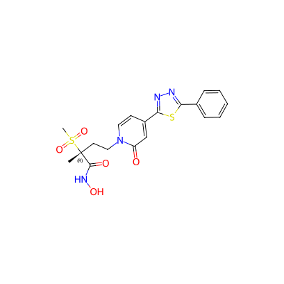 C[C@@](CCn1ccc(-c2nnc(-c3ccccc3)s2)cc1=O)(C(=O)NO)S(C)(=O)=O